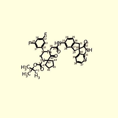 CC(C)(C)OC(=O)N1C[C@@H](c2cc(F)cc(F)c2)N(CC(=O)Nc2ccc3c(c2)C[C@@]2(C3)C(=O)Nc3ncccc32)C(=O)C12CCCC2